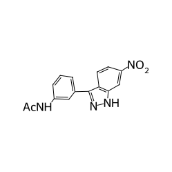 CC(=O)Nc1cccc(-c2n[nH]c3cc([N+](=O)[O-])ccc23)c1